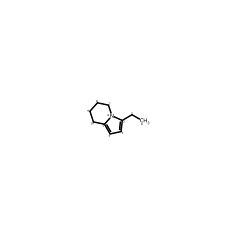 CCc1ccc2n1CCCC2